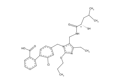 CCCOc1nc(CC)c(CNC(=O)[C@@H](S)CC(C)C)n1Cc1ccc(-c2ccccc2C(=O)O)c(Cl)c1